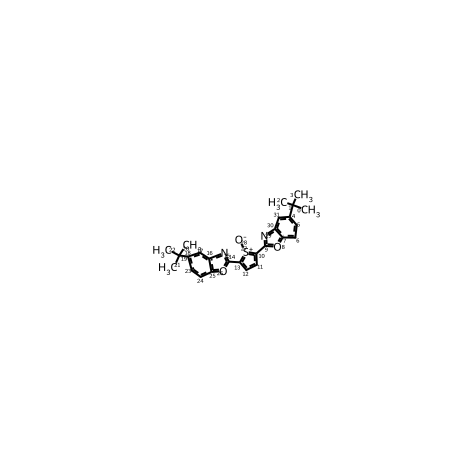 CC(C)(C)c1ccc2oc(-c3ccc(-c4nc5cc(C(C)(C)C)ccc5o4)[s+]3[O-])nc2c1